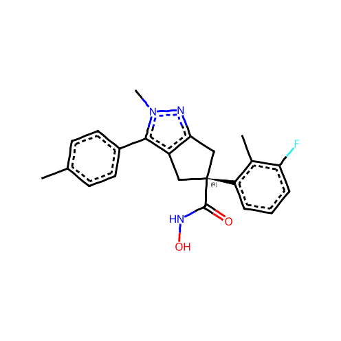 Cc1ccc(-c2c3c(nn2C)C[C@@](C(=O)NO)(c2cccc(F)c2C)C3)cc1